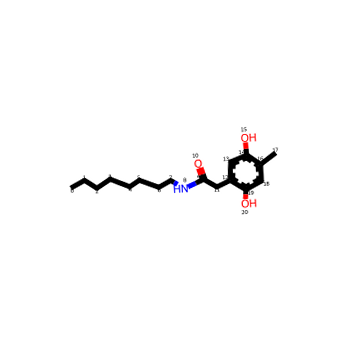 CCCCCCCCNC(=O)Cc1cc(O)c(C)cc1O